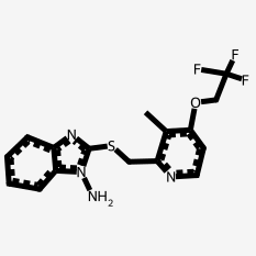 Cc1c(OCC(F)(F)F)ccnc1CSc1nc2ccccc2n1N